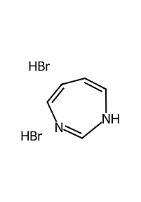 Br.Br.C1=CN=CNC=C1